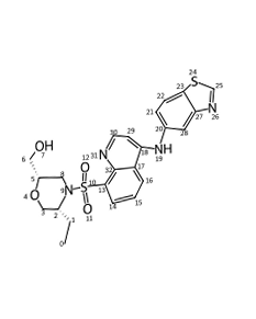 CC[C@@H]1CO[C@H](CO)CN1S(=O)(=O)c1cccc2c(Nc3ccc4scnc4c3)ccnc12